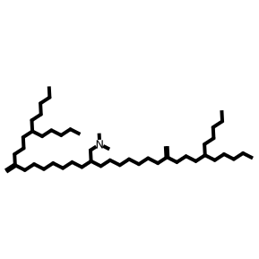 C=C(CCCCCCCC(CCCCCCCC(=C)CCCC(CCCCC)CCCCC)CN(C)C)CCCC(CCCCC)CCCCC